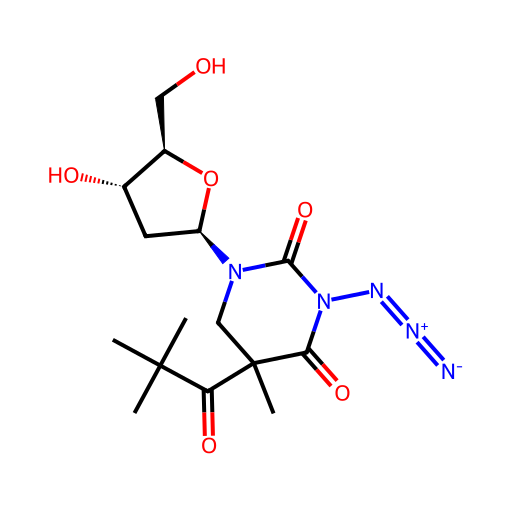 CC(C)(C)C(=O)C1(C)CN([C@H]2C[C@H](O)[C@@H](CO)O2)C(=O)N(N=[N+]=[N-])C1=O